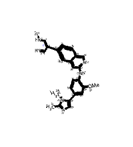 CCN/C=C(\C=N)c1ccc2cnc(Nc3ccc(-c4cnc(C)n4C)cc3OC)cc2c1